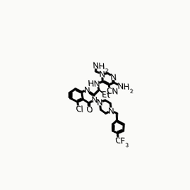 CC[C@H](NC1=C(C#N)C(N)=NCN1CN)c1nc2cc#cc(Cl)c2c(=O)n1N1CCN(Cc2ccc(C(F)(F)F)cc2)CC1